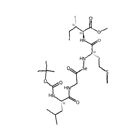 CC[C@H](C)[C@H](NC(=O)[C@H](CCSC)N[Se]C(=O)CNC(=O)[C@H](CC(C)C)NC(=O)OC(C)(C)C)C(=O)OC